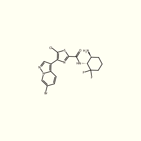 N[C@H]1CCCC(F)(F)[C@@H]1NC(=O)c1nc(-c2cnn3cc(Br)ccc23)c(Cl)s1